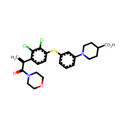 C=C(C(=O)N1CCOCC1)c1ccc(Sc2cccc(N3CCC(C(=O)O)CC3)c2)c(Cl)c1Cl